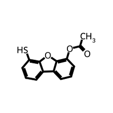 CC(=O)Oc1cccc2c1oc1c(S)cccc12